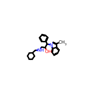 Cc1cn(C(c2ccccc2)C(O)CNCC2CCCCC2)c2ccccc12